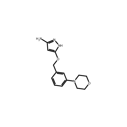 Nc1cc(OCc2cccc(N3CCOCC3)c2)[nH]n1